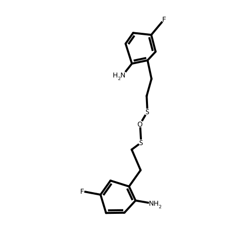 Nc1ccc(F)cc1CCSOSCCc1cc(F)ccc1N